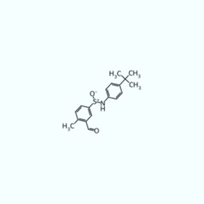 Cc1ccc([S+]([O-])Nc2ccc(C(C)(C)C)cc2)cc1C=O